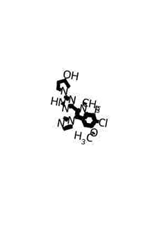 COc1cc2c(-n3ccnc3)c(-c3n[nH]c(N4CC[C@@H](O)C4)n3)n(C)c2c(F)c1Cl